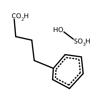 O=C(O)CCCc1ccccc1.O=S(=O)(O)O